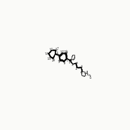 CCCCCC(=O)c1ccc(C2CCCCC2)cc1